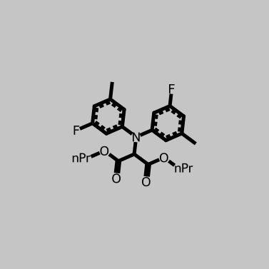 CCCOC(=O)C(C(=O)OCCC)N(c1cc(C)cc(F)c1)c1cc(C)cc(F)c1